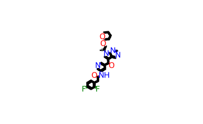 C[C@@H](COC1CCCCO1)n1cc(C(=O)c2cncc(NC(=O)Cc3ccc(F)cc3F)c2)c2cncnc21